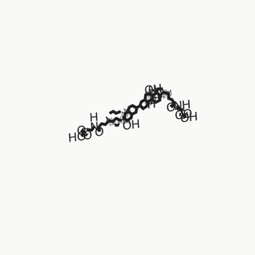 CCCC[C@H]1[C@H]([C@@H]2CC[C@H]([C@H](C)CCC(=O)NCCS(=O)(=O)O)C2)[C@@H](O)CC2CC(C3CC[C@@]4(C)C(C3)C[C@H](O)[C@H]3[C@@H]5CC[C@H]([C@H](C)CCC(=O)NCCS(=O)(=O)O)[C@@]5(C)CC[C@@H]34)CC[C@@]21C